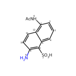 CC(=O)Nc1cccc2c(S(=O)(=O)O)c(N)ccc12